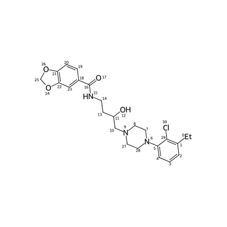 CCc1cccc(N2CCN(CC(O)CCNC(=O)c3ccc4c(c3)OCO4)CC2)c1Cl